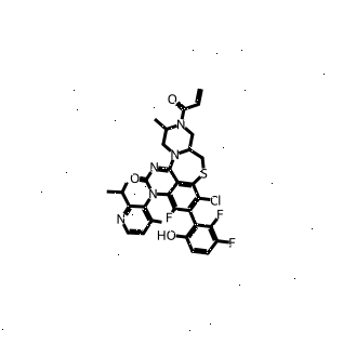 C=CC(=O)N1CC2CSc3c(Cl)c(-c4c(O)ccc(F)c4F)c(F)c4c3c(nc(=O)n4-c3c(C)ccnc3C(C)C)N2CC1C